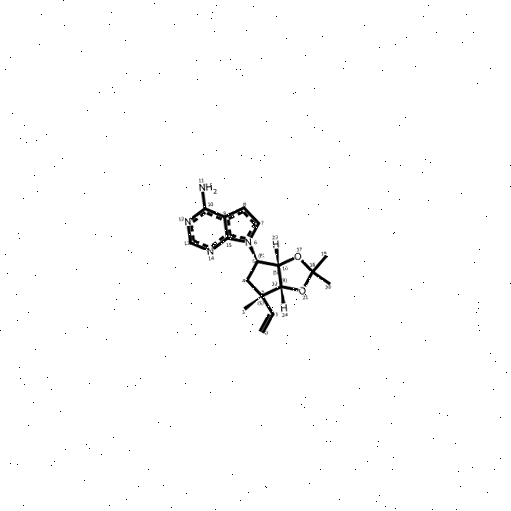 C=C[C@]1(C)C[C@@H](n2ccc3c(N)ncnc32)[C@@H]2OC(C)(C)O[C@@H]21